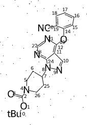 CC(C)(C)OC(=O)N1CCC(n2ncc3c(Oc4ccccc4C#N)ncnc32)CC1